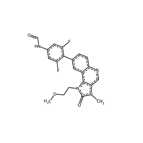 COCCn1c(=O)n(C)c2cnc3ccc(-c4c(F)cc(NC=O)cc4F)cc3c21